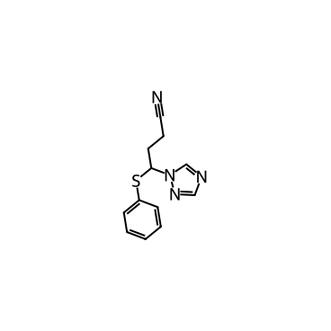 N#CCCC(Sc1ccccc1)n1cncn1